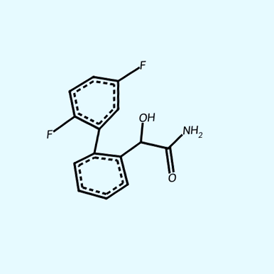 NC(=O)C(O)c1ccccc1-c1cc(F)ccc1F